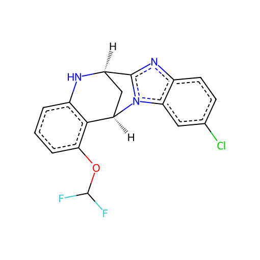 FC(F)Oc1cccc2c1[C@H]1C[C@@H](N2)c2nc3ccc(Cl)cc3n21